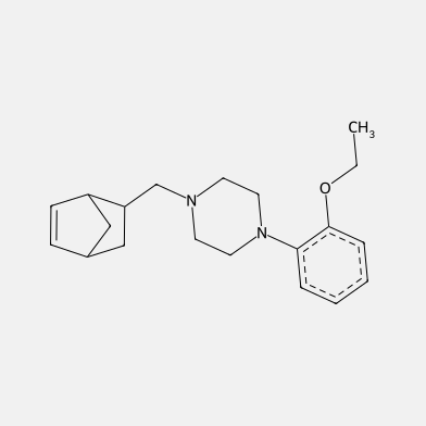 CCOc1ccccc1N1CCN(CC2CC3C=CC2C3)CC1